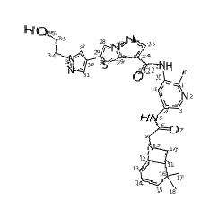 Cc1ncc(NC(=O)CN2CC3C2=CC=CC3(C)C)cc1NC(=O)c1cnn2cc(-c3cnn(CCO)c3)sc12